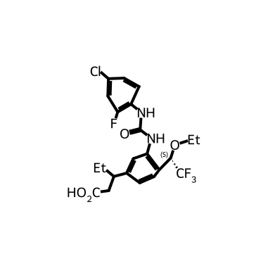 CCO[C@@H](c1ccc(C(CC)CC(=O)O)cc1NC(=O)Nc1ccc(Cl)cc1F)C(F)(F)F